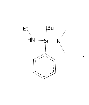 CCN[Si](c1ccccc1)(N(C)C)C(C)(C)C